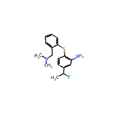 CC(F)c1ccc(Sc2ccccc2CN(C)C)c(N)c1